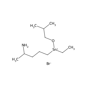 C[CH2][Sn+]([CH2]CCC(C)N)[O]CC(C)C.[Br-]